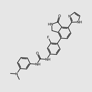 CN(C)c1cccc(NC(=O)Nc2ccc(-c3ccc(-c4ncc[nH]4)c4c3CNC4=O)c(F)c2)c1